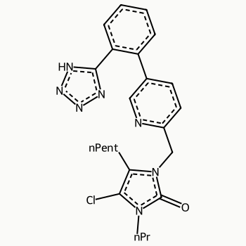 CCCCCc1c(Cl)n(CCC)c(=O)n1Cc1ccc(-c2ccccc2-c2nnn[nH]2)cn1